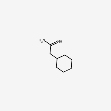 N=C(N)CC1CCCCC1